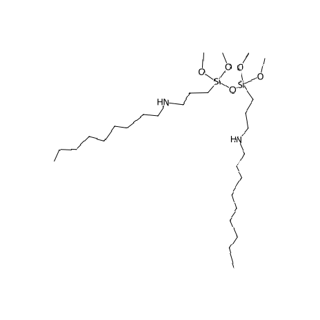 CCCCCCCCCNCCC[Si](OC)(OC)O[Si](CCCNCCCCCCCCC)(OC)OC